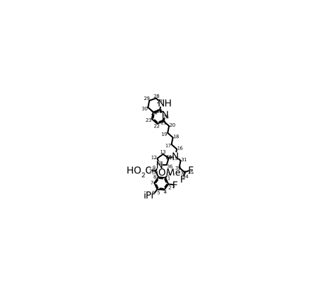 COc1c(F)cc(C(C)C)cc1[C@@H](C(=O)O)N1CC[C@@H](N(CCCCCc2ccc3c(n2)NCCC3)CCC(F)F)C1